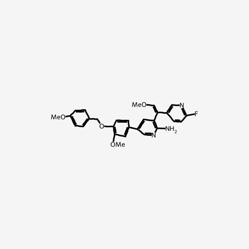 COC=C(c1ccc(F)nc1)c1cc(-c2ccc(OCc3ccc(OC)cc3)c(OC)c2)cnc1N